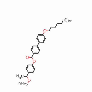 CCCCCCCCCCCCCCCOc1ccc(-c2ccc(C(=O)Oc3ccc(C(C)OCCCCCC)cc3)cc2)cc1